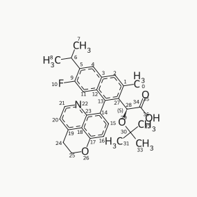 Cc1cc2cc(C(C)C)c(F)cc2c(-c2ccc3c4c(ccnc24)CCO3)c1[C@H](OC(C)(C)C)C(=O)O